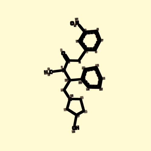 CN(C(=O)Cc1cccc([N+](=O)[O-])c1)C(CN1CCC(O)C1)c1ccccc1